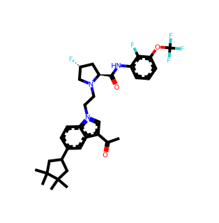 CC(=O)c1cn(CCN2C[C@H](F)C[C@H]2C(=O)Nc2cccc(OC(F)(F)F)c2F)c2ccc(C3CC(C)(C)C(C)(C)C3)cc12